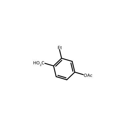 CCc1cc(OC(C)=O)ccc1C(=O)O